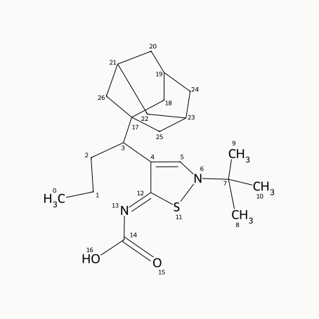 CCCC(c1cn(C(C)(C)C)sc1=NC(=O)O)C12CC3CC(CC(C3)C1)C2